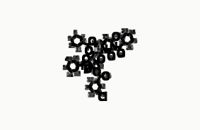 C#C[C@]1(OC(=O)c2ccccc2)[C@H](n2ccc(=O)n(C(=O)c3ccccc3)c2=O)O[C@](N)(COC(=O)c2cccc(Cl)c2)[C@H]1OC(=O)c1ccccc1